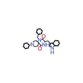 O=C1C(Cc2c[nH]c3ccccc23)NC(=O)C2(CCN(c3ccccc3)CC2)N1Cc1ccccc1